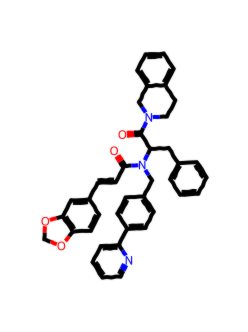 O=C(C(Cc1ccccc1)N(Cc1ccc(-c2ccccn2)cc1)C(=O)C=Cc1ccc2c(c1)OCO2)N1CCc2ccccc2C1